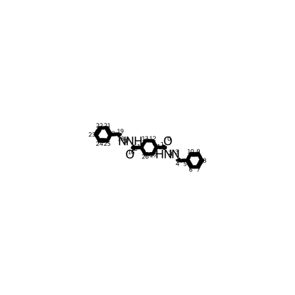 O=C(N/N=C/c1ccccc1)C1CCC(C(=O)N/N=C/c2ccccc2)CC1